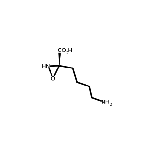 NCCCC[C@@]1(C(=O)O)NO1